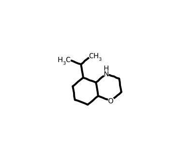 CC(C)C1CCCC2OCCNC21